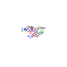 COc1ccc([C@](O)(CNC(=O)c2cc(OC)c3nn(C(F)F)cc3c2)c2cc3c(c(-c4cc(Cl)c(F)cc4F)n2)OC[C@]3(C)C(N)=O)cc1